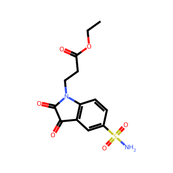 CCOC(=O)CCN1C(=O)C(=O)c2cc(S(N)(=O)=O)ccc21